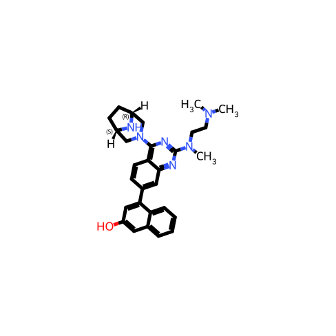 CN(C)CCN(C)c1nc(N2C[C@H]3CC[C@@H](C2)N3)c2ccc(-c3cc(O)cc4ccccc34)cc2n1